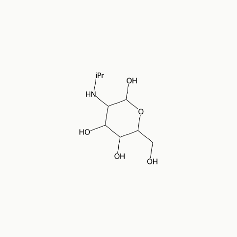 CC(C)NC1C(O)OC(CO)C(O)C1O